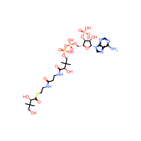 CC(C)(COP(=O)(O)OP(=O)(O)OC[C@H]1O[C@@H](n2cnc3c(N)ncnc32)[C@H](O)[C@@H]1OP(=O)(O)O)[C@@H](O)C(=O)NCCC(=O)NCCSC(=O)[C@H](O)C(C)(C)CO